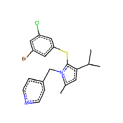 Cc1cc(C(C)C)c(Sc2cc(Cl)cc(Br)c2)n1Cc1ccncc1